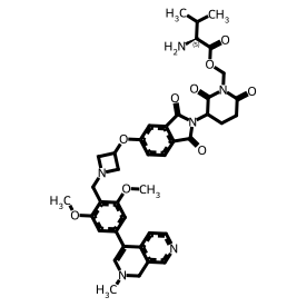 COc1cc(C2=CN(C)Cc3cnccc32)cc(OC)c1CN1CC(Oc2ccc3c(c2)C(=O)N(C2CCC(=O)N(COC(=O)[C@@H](N)C(C)C)C2=O)C3=O)C1